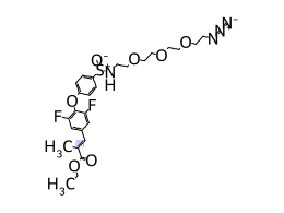 CCOC(=O)/C(C)=C/c1cc(F)c(Oc2ccc([S+]([O-])NCCOCCOCCOCCN=[N+]=[N-])cc2)c(F)c1